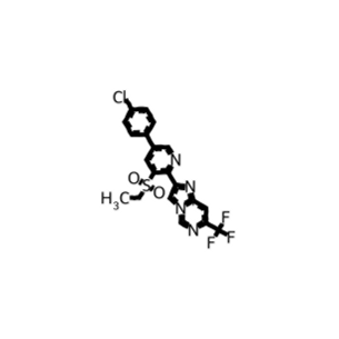 CCS(=O)(=O)c1cc(-c2ccc(Cl)cc2)cnc1-c1cn2cnc(C(F)(F)F)cc2n1